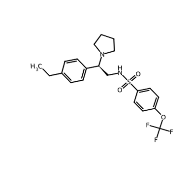 CCc1ccc([C@H](CNS(=O)(=O)c2ccc(OC(F)(F)F)cc2)N2CCCC2)cc1